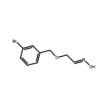 ON=CCOCc1cccc(Br)c1